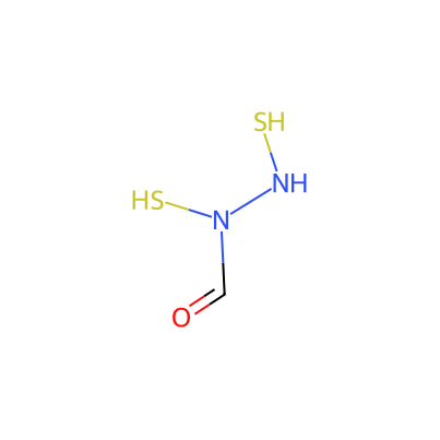 O=CN(S)NS